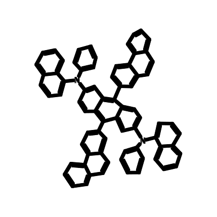 c1ccc(N(c2ccc3c(-c4ccc5c(ccc6ccccc65)c4)c4cc(N(c5ccccc5)c5cccc6ccccc56)ccc4c(-c4ccc5c(ccc6ccccc65)c4)c3c2)c2cccc3ccccc23)cc1